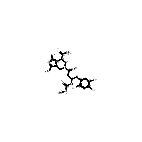 CCCc1nc(C(F)(F)F)n2c1CN(C(=O)CC(Cc1cc(F)c(F)cc1F)NC(=O)OC(C)(C)C)CC2C(N)=O